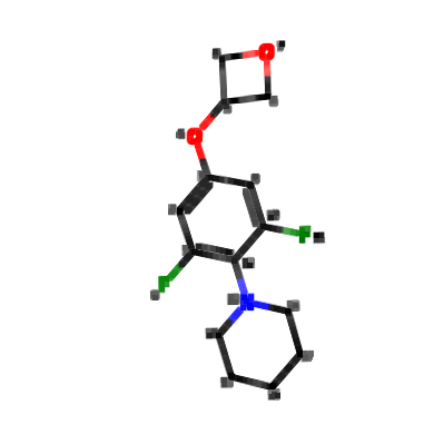 Fc1cc(OC2COC2)cc(F)c1N1CCCCC1